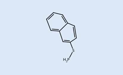 PSc1ccc2ccccc2c1